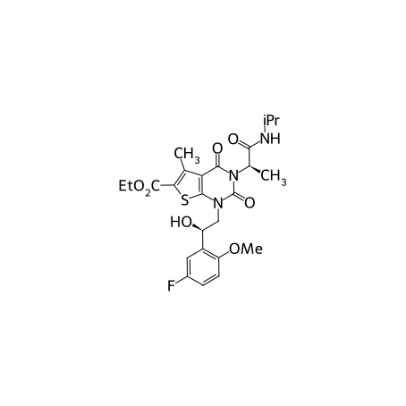 CCOC(=O)c1sc2c(c1C)c(=O)n([C@H](C)C(=O)NC(C)C)c(=O)n2C[C@H](O)c1cc(F)ccc1OC